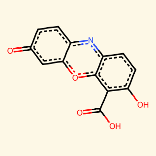 O=C(O)c1c(O)ccc2nc3ccc(=O)cc-3oc12